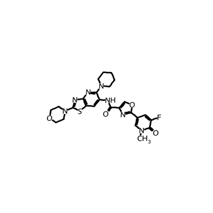 Cn1cc(-c2nc(C(=O)Nc3cc4sc(N5CCOCC5)nc4nc3N3CCCCC3)co2)cc(F)c1=O